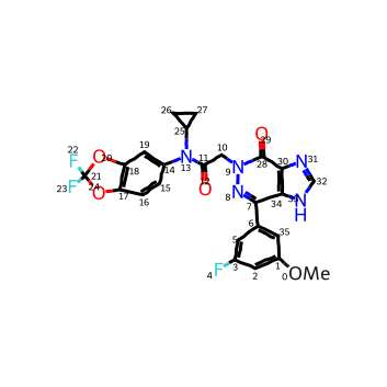 COc1cc(F)cc(-c2nn(CC(=O)N(c3ccc4c(c3)OC(F)(F)O4)C3CC3)c(=O)c3nc[nH]c23)c1